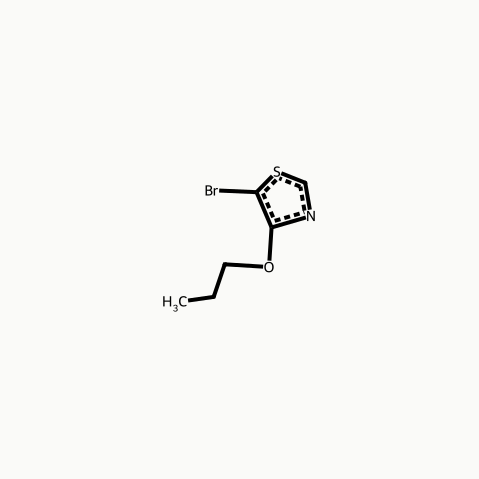 CCCOc1ncsc1Br